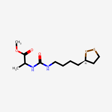 COC(=O)C(C)NC(=O)NCCCC[C@@H]1CCSS1